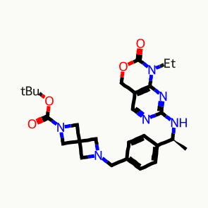 CCN1C(=O)OCc2cnc(N[C@@H](C)c3ccc(CN4CC5(C4)CN(C(=O)OC(C)(C)C)C5)cc3)nc21